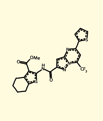 COC(=O)c1c(NC(=O)c2cc3nc(-c4cccs4)cc(C(F)(F)F)n3n2)sc2c1CCCC2